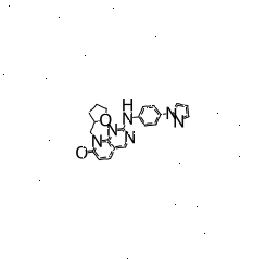 O=c1ccc2cnc(Nc3ccc(-n4cccn4)cc3)nc2n1CC1CCCO1